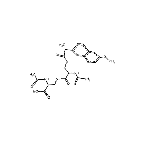 COc1ccc2cc([C@@H](C)C(=O)SCC(NC(C)=O)C(=O)SCC(NC(C)=O)C(=O)O)ccc2c1